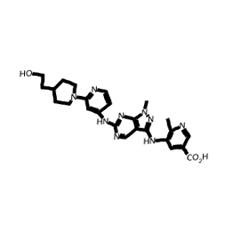 Cc1ncc(C(=O)O)cc1Nc1nn(C)c2nc(Nc3ccnc(N4CCC(CCO)CC4)c3)ncc12